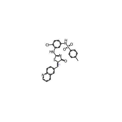 Cc1ccc(S(=O)(=O)Nc2ccc(Cl)c(NC3=NC(=O)/C(=C/c4ccc5ncccc5c4)S3)c2)cc1